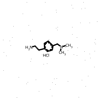 CN(C)Cc1ccc(CCN)cc1.Cl